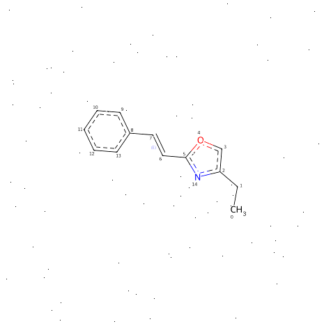 CCc1coc(/C=C/c2ccccc2)n1